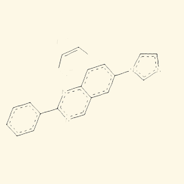 O.O=C(O)/C=C\C(=O)O.c1ccc(-c2ncc3cc(-n4ccnc4)ccc3n2)cc1